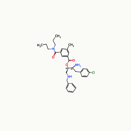 CCCN(CCC)C(=O)c1cc(C)cc(C(=O)O[C@H](CNCc2ccccc2)[C@@H](N)Cc2ccc(Cl)cc2)c1